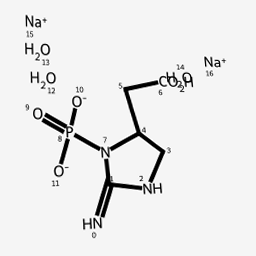 N=C1NCC(CC(=O)O)N1P(=O)([O-])[O-].O.O.O.[Na+].[Na+]